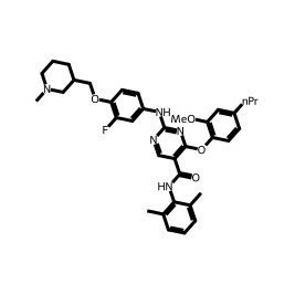 CCCc1ccc(Oc2nc(Nc3ccc(OCC4CCCN(C)C4)c(F)c3)ncc2C(=O)Nc2c(C)cccc2C)c(OC)c1